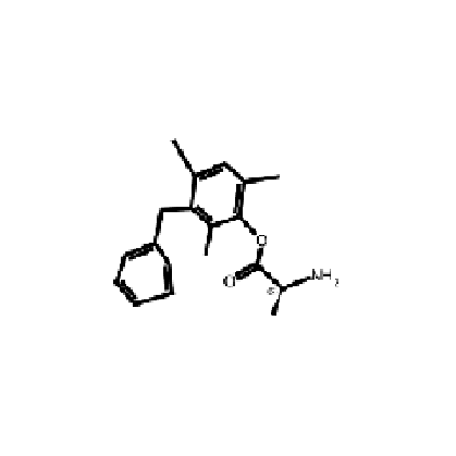 Cc1cc(C)c(OC(=O)[C@H](C)N)c(C)c1Cc1ccccc1